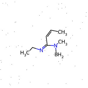 BN(C)C(/C=C\C)=N/CC